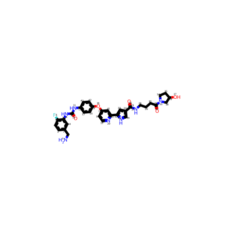 NCc1ccc(F)c(NC(=O)Nc2ccc(Oc3ccnc(-c4cc(C(=O)NCCCC(=O)N5CCC(O)C5)c[nH]4)c3)cc2)c1